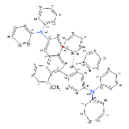 CC1CC=Cc2c1c1c(c3ccc(N(c4ccccc4)c4ccccc4)cc23)C(c2ccccc2)([C@H]2C=CC=CC2)c2cc(N(C3=CC=CCCC3)c3ccccc3)ccc2-1